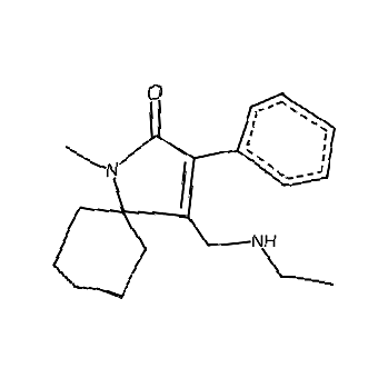 CCNCC1=C(c2ccccc2)C(=O)N(C)C12CCCCC2